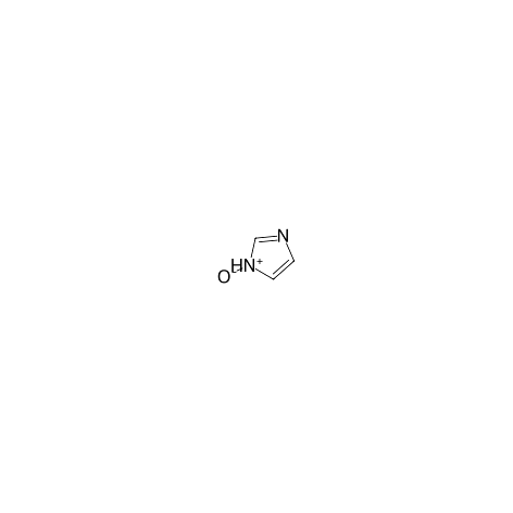 [O-][NH+]1C=CN=C1